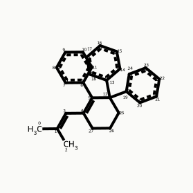 CC(C)=CC1=C(c2ccccc2)C(c2ccccc2)(c2ccccc2)CCC1